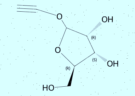 C#COC1O[C@H](CO)[C@@H](O)[C@H]1O